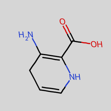 NC1=C(C(=O)O)NC=CC1